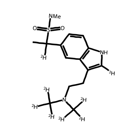 [2H]c1[nH]c2ccc(C([2H])(C)S(=O)(=O)NC)cc2c1CCN(C([2H])([2H])[2H])C([2H])([2H])[2H]